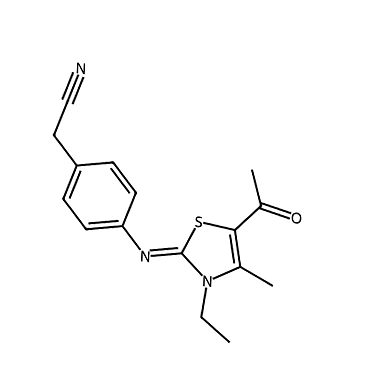 CCn1c(C)c(C(C)=O)s/c1=N\c1ccc(CC#N)cc1